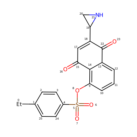 CCc1ccc(S(=O)(=O)Oc2cccc3c2C(=O)C=C(C2CN2)C3=O)cc1